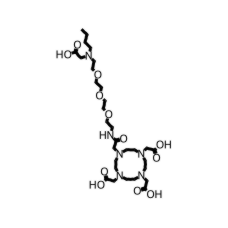 CCCCN(CCOCCOCCOCCNC(=O)CN1CCN(CC(=O)O)CCN(CC(=O)O)CCN(CC(=O)O)CC1)CC(=O)O